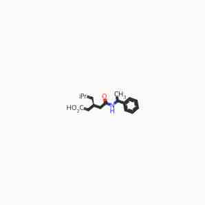 CC(C)C[C@H](CC(=O)O)CC(=O)NC(C)c1ccccc1